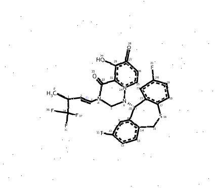 CC(/C=C/N1CN([C@H]2c3cc(F)ccc3CSc3ccc(F)cc32)n2ccc(=O)c(O)c2C1=O)C(F)(F)F